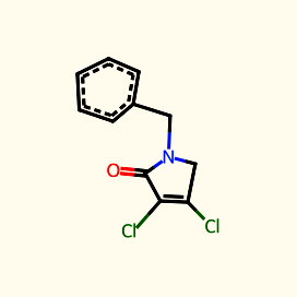 O=C1C(Cl)=C(Cl)CN1Cc1ccccc1